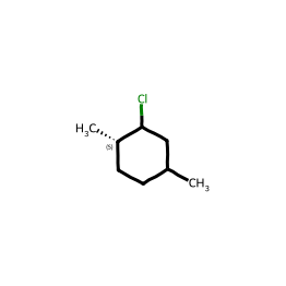 CC1CC[C@H](C)C(Cl)C1